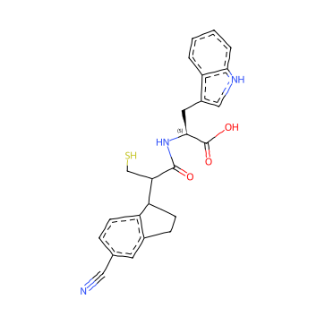 N#Cc1ccc2c(c1)CCC2C(CS)C(=O)N[C@@H](Cc1c[nH]c2ccccc12)C(=O)O